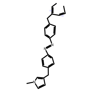 C/C=C\C(=C/C)Cc1ccc(N=Nc2ccc(Cc3ccn(C)c3)cc2)cc1